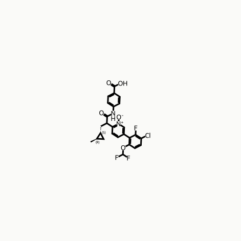 C[C@@H]1C[C@H]1CC(C(=O)Nc1ccc(C(=O)O)cc1)c1ccc(-c2c(OC(F)F)ccc(Cl)c2F)c[n+]1[O-]